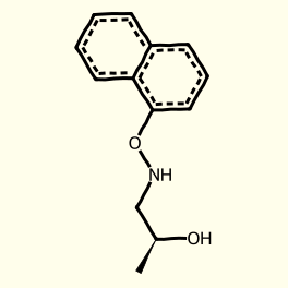 C[C@H](O)CNOc1cccc2ccccc12